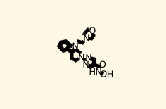 O=C(NO)c1cnc(N2CCc3c(n(CCN4CCOCC4)c4ccccc34)C2)nc1